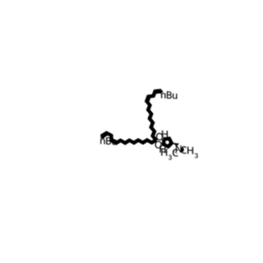 CCCC/C=C\C/C=C\CCCCCCCCC1(CCCCCCCC/C=C\C/C=C\CCCC)O[C@H]2C[C@H](CN(C)C)C[C@H]2O1